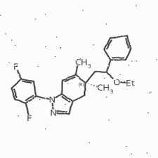 CCOC(C[C@@]1(C)Cc2cnn(-c3cc(F)ccc3F)c2C=C1C)c1ccccc1